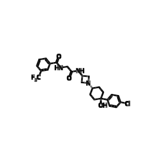 O=C(CNC(=O)c1cccc(C(F)(F)F)c1)NC1CN([C@H]2CC[C@@](O)(c3ccc(Cl)cc3)CC2)C1